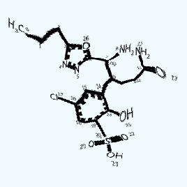 CCCc1nnc([C@@H](N)C(CC(N)=O)c2cc(Cl)cc(S(=O)(=O)O)c2O)o1